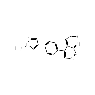 Cn1cc(-c2ccc(-c3cncc4nc[c]cc34)cc2)cn1